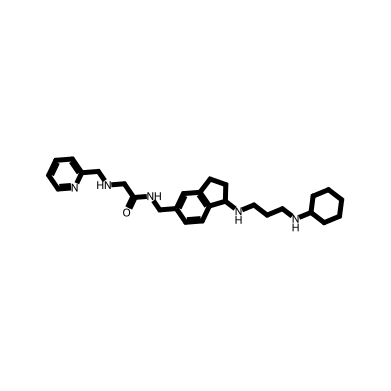 O=C(CNCc1ccccn1)NCc1ccc2c(c1)CCC2NCCCNC1CCCCC1